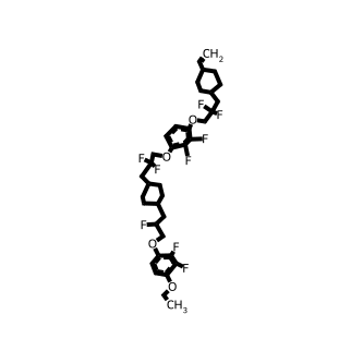 C=CC1CCC(CC(F)(F)COc2ccc(OCC(F)(F)CC3CCC(CC(F)COc4ccc(OCC)c(F)c4F)CC3)c(F)c2F)CC1